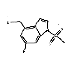 CS(=O)(=O)n1ccc2c(CBr)cc(F)cc21